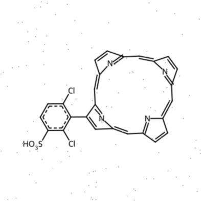 O=S(=O)(O)c1ccc(Cl)c(C2=CC3=CC4=NC(=CC5=NC(=CC6=NC(=CC2=N3)C=C6)C=C5)C=C4)c1Cl